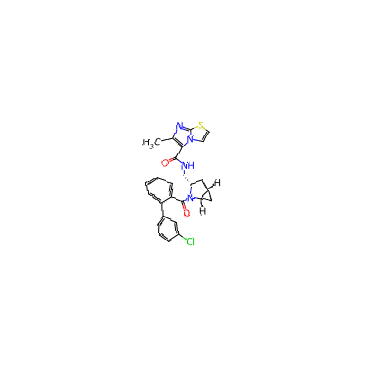 Cc1nc2sccn2c1C(=O)NC[C@@H]1C[C@@H]2C[C@@H]2N1C(=O)c1ccccc1-c1cccc(Cl)c1